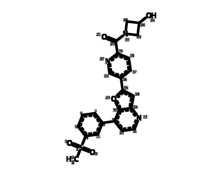 CS(=O)(=O)c1cccc(-c2ccnc3cc(-c4ccc(C(=O)N5CC(O)C5)nc4)oc23)c1